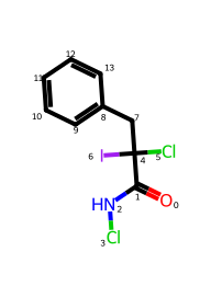 O=C(NCl)C(Cl)(I)Cc1ccccc1